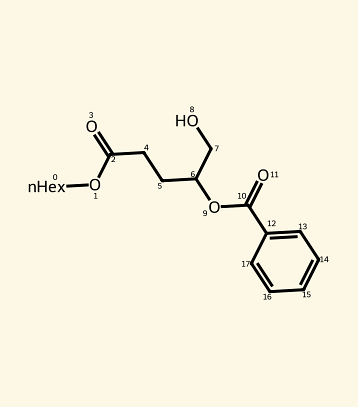 CCCCCCOC(=O)CCC(CO)OC(=O)c1ccccc1